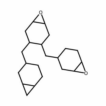 C1CC2CC2CC1CC1CC2OC2CC1CC1CCC2OC2C1